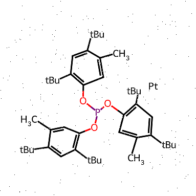 Cc1cc(OP(Oc2cc(C)c(C(C)(C)C)cc2C(C)(C)C)Oc2cc(C)c(C(C)(C)C)cc2C(C)(C)C)c(C(C)(C)C)cc1C(C)(C)C.[Pt]